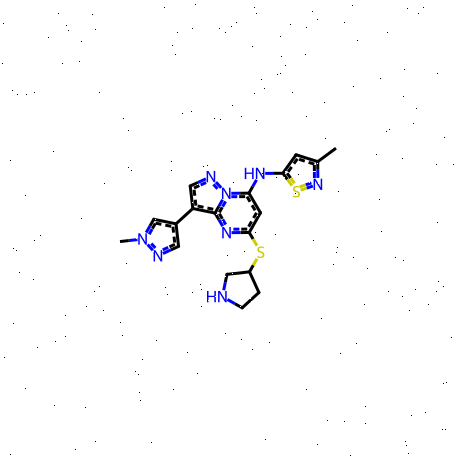 Cc1cc(Nc2cc(SC3CCNC3)nc3c(-c4cnn(C)c4)cnn23)sn1